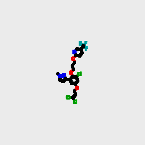 Cn1ccc(-c2cc(OCC=C(Cl)Cl)cc(Cl)c2OCCCOc2ccc(C(F)(F)F)cn2)n1